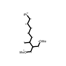 COCC(COC)C(C)CCCCCC(C)C